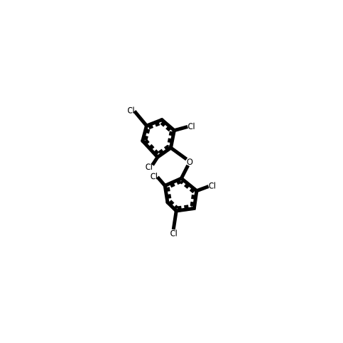 Clc1cc(Cl)c(Oc2c(Cl)cc(Cl)cc2Cl)c(Cl)c1